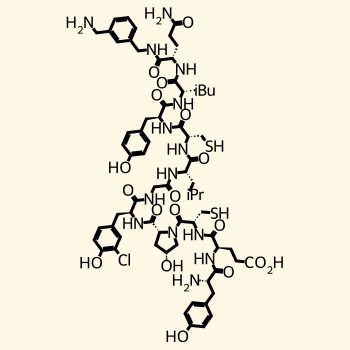 CCC(C)[C@H](NC(=O)[C@H](Cc1ccc(O)cc1)NC(=O)[C@H](CS)NC(=O)[C@H](CC(C)C)NC(=O)CNC(=O)[C@H](Cc1ccc(O)c(Cl)c1)NC(=O)[C@H]1C[C@@H](O)CN1C(=O)[C@H](CS)NC(=O)[C@@H](CCC(=O)O)NC(=O)[C@@H](N)Cc1ccc(O)cc1)C(=O)N[C@@H](CCC(N)=O)C(=O)NCc1cccc(CN)c1